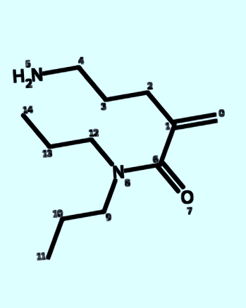 C=C(CCCN)C(=O)N(CCC)CCC